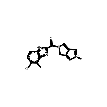 Cc1c(Cl)ccc2[nH]c(C(=O)N3C=C4C=[N+](C)C=C4C3)nc12